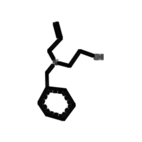 C=CCN(CCO)Cc1ccccc1